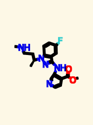 CNCC[C@H](C)n1nc(Nc2cnccc2C(=O)OC)c2cc(F)ccc21